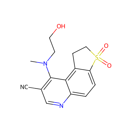 CN(CCO)c1c(C#N)cnc2ccc3c(c12)CCS3(=O)=O